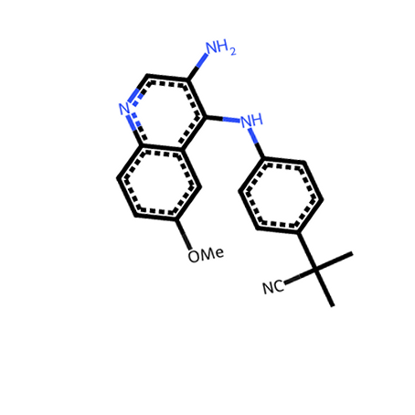 COc1ccc2ncc(N)c(Nc3ccc(C(C)(C)C#N)cc3)c2c1